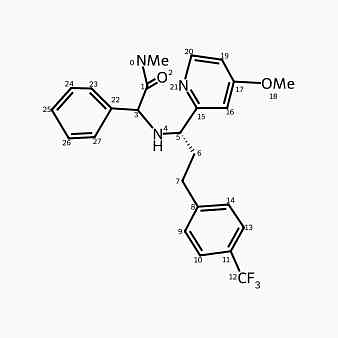 CNC(=O)C(N[C@@H](CCc1ccc(C(F)(F)F)cc1)c1cc(OC)ccn1)c1ccccc1